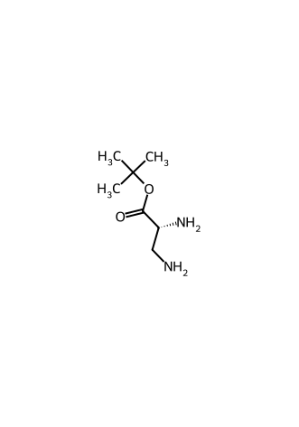 CC(C)(C)OC(=O)[C@H](N)CN